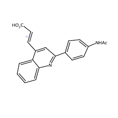 CC(=O)Nc1ccc(-c2cc(/C=C/C(=O)O)c3ccccc3n2)cc1